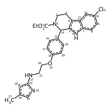 CCOC(=O)N1CCc2c([nH]c3ccc(Cl)cc23)C1c1ccc(OCCNc2ncc(C)s2)cc1